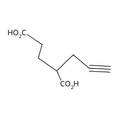 C#CCC(CCC(=O)O)C(=O)O